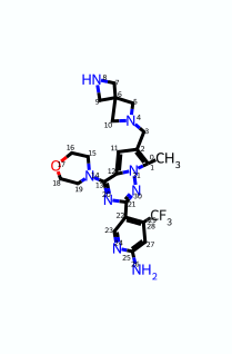 Cc1c(CN2CC3(CNC3)C2)cc2c(N3CCOCC3)nc(-c3cnc(N)cc3C(F)(F)F)nn12